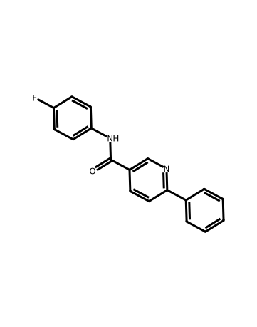 O=C(Nc1ccc(F)cc1)c1ccc(-c2ccccc2)nc1